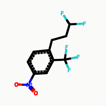 O=[N+]([O-])c1ccc(CCC(F)F)c(C(F)(F)F)c1